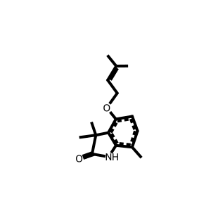 CC(C)=CCOc1ccc(C)c2c1C(C)(C)C(=O)N2